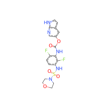 O=C(Nc1c(F)ccc(NS(=O)(=O)N2CCOCC2)c1F)Oc1cnc2[nH]ccc2c1